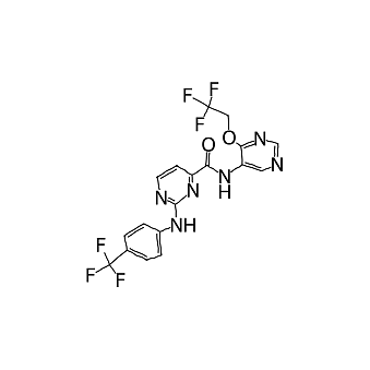 O=C(Nc1cncnc1OCC(F)(F)F)c1ccnc(Nc2ccc(C(F)(F)F)cc2)n1